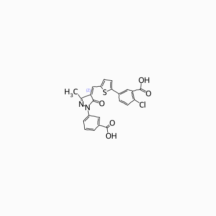 CC1=NN(c2cccc(C(=O)O)c2)C(=O)/C1=C\c1ccc(-c2ccc(Cl)c(C(=O)O)c2)s1